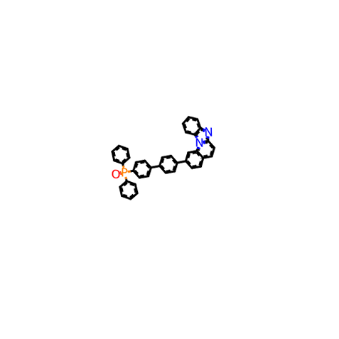 O=P(c1ccccc1)(c1ccccc1)c1ccc(-c2ccc(-c3ccc4ccc5nc6ccccc6n5c4c3)cc2)cc1